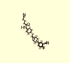 N#CCCCC(=O)N[C@H]1CC[C@H](CCN2CCN(c3ccc(F)c(C#N)c3)CC2)CC1